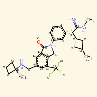 CNC(=N)[C@@H](c1cccc(N2Cc3c(cc(CNC4(C)CCC4)cc3C(F)(F)F)C2=O)c1)[C@H]1C[C@H](C)C1